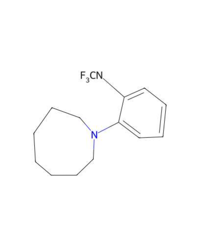 FC(F)(F)Nc1ccccc1N1CCCCCCC1